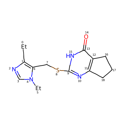 CCc1ncn(CC)c1CSc1nc2c(c(=O)[nH]1)CCC2